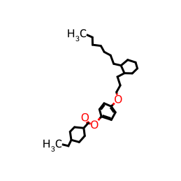 CCCCCCCC1CCCCC1CCCOc1ccc(OC(=O)C2CCC(CC)CC2)cc1